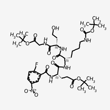 CC(C)(C)OC(=O)CC[C@H](NC(=O)c1cc([N+](=O)[O-])ccc1F)C(=O)N[C@@H](CCCCNC(=O)OC(C)(C)C)C(=O)N[C@@H](CCO)C(=O)NCC(=O)OC(C)(C)C